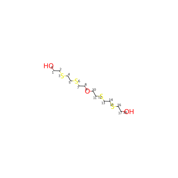 OCCSCCSCCOCCSCCSCCO